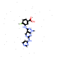 Cn1nc(Nc2cc(C(=O)O)ccc2F)c2cnc(Nc3ccncn3)nc21